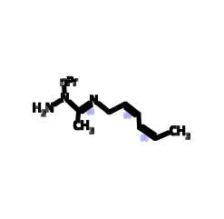 C/C=C\C=C/C/N=C(\C)N(N)CCC